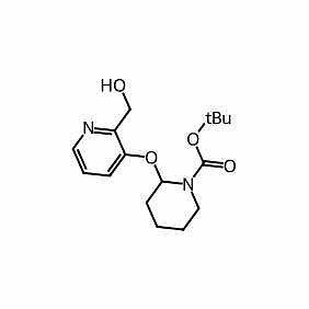 CC(C)(C)OC(=O)N1CCCCC1Oc1cccnc1CO